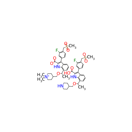 CC(OCC1CCNCC1)c1cccc2c(-c3ccc(CS(C)(=O)=O)c(F)c3)c(C(=O)O)[nH]c12.CC(OCC1CC[N+](C)(C)CC1)c1cccc2c(-c3ccc(CS(C)(=O)=O)c(F)c3)c(C(=O)[O-])[nH]c12